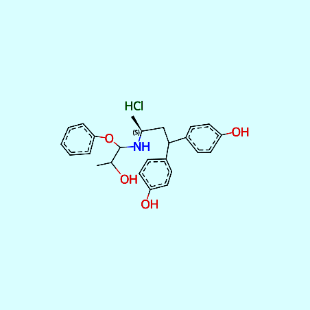 CC(O)C(N[C@@H](C)CC(c1ccc(O)cc1)c1ccc(O)cc1)Oc1ccccc1.Cl